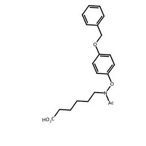 CC(=O)N(CCCCCC(=O)O)Oc1ccc(OCc2ccccc2)cc1